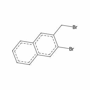 BrCc1cc2ccccc2cc1Br